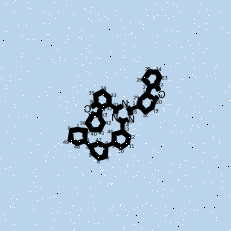 c1ccc(-c2cccc(-c3cccc(-c4nc(-c5ccc6oc7ccccc7c6c5)nc(-c5cccc6oc7ccccc7c56)n4)c3)c2)cc1